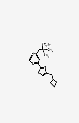 CCOC(=O)C(C)(C)Cc1cc(-c2nc(CC3CCC3)cs2)ncn1